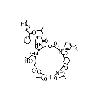 CC[C@H](C)[C@@H]1NC(=O)[C@@H](NC(=O)[C@@H](CC(C)C)N(C)C(=O)[C@@H]2CCCN2C(=O)/C(C)=N/NC)[C@@H](C)OC(=O)[C@H](Cc2ccc(OC)cc2)N(C)C(=O)[C@@H]2CCCN2C(=O)[C@H](CC(C)C)NC(=O)[C@@H](C)C(=O)[C@H](C(C)C)OC(=O)C[C@@H]1O